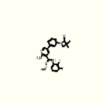 CC1(C)CN(c2cccc(-c3cnc(N)c(/C(=N/N=N)Nc4cccc(F)c4F)c3)c2)C1=O